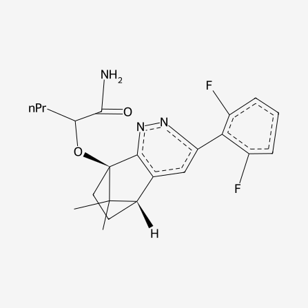 CCCC(O[C@@]12CC[C@@H](c3cc(-c4c(F)cccc4F)nnc31)C2(C)C)C(N)=O